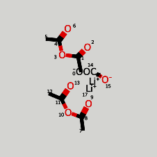 CC(=O)OC(C)=O.CC(=O)OC(C)=O.O=C([O-])[O-].[Li+].[Li+]